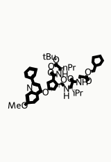 CCC[C@H](NC(=O)C1C[C@@H](Oc2cc(-c3ccccc3)nc3cc(OC)ccc23)C[C@@H]1C(=O)N[C@H](C(=O)NCC(=O)OCC1CCCCC1)C(C)C)C(=O)OC(C)(C)C